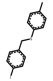 Cc1ccc(SCc2ccc(I)cc2)cc1